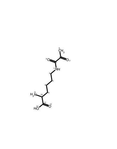 CC(=O)C(=O)NCCCCC(N)C(=O)O